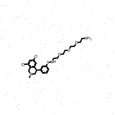 CN1Cc2c(Cl)cc(Cl)cc2C(c2cccc(SNCCOCCOCCOCCN)c2)C1